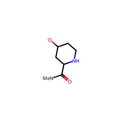 CNC(=O)C1CC([O])CCN1